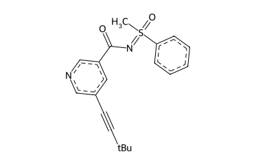 CC(C)(C)C#Cc1cncc(C(=O)N=S(C)(=O)c2ccccc2)c1